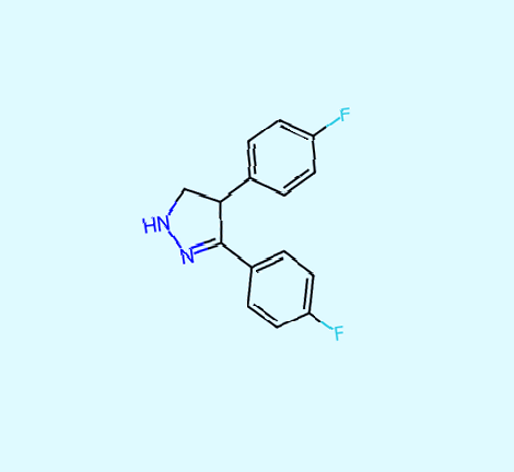 Fc1ccc(C2=NNCC2c2ccc(F)cc2)cc1